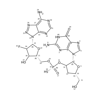 Nc1nc2c(ncn2[C@@H]2O[C@H](CO)CC2O[P@](=O)(S)OC[C@H]2O[C@@H](n3nnc4c(N)ncnc43)C(F)C2O)c(=O)[nH]1